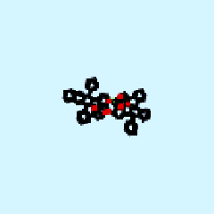 Fc1ccc(-c2ccccc2-c2c3c(c(-c4ccccc4)c4cc5ccccc5cc24)-c2ccc4c5c6c(c7ccc-3c2c47)=CC=C2c3c(c(-c4ccccc4-c4ccc(F)cc4)c4ccccc4c3-c3ccccc3)C(C=C5)C26)cc1